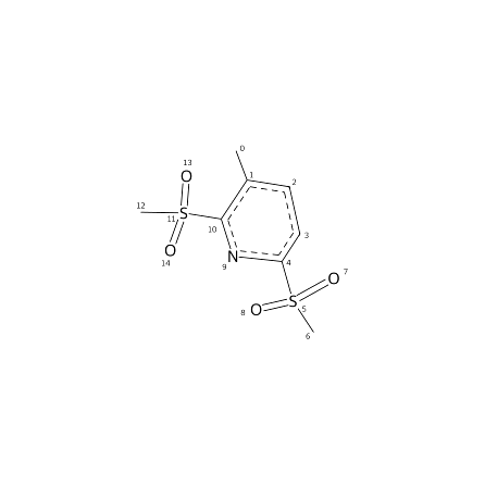 Cc1ccc(S(C)(=O)=O)nc1S(C)(=O)=O